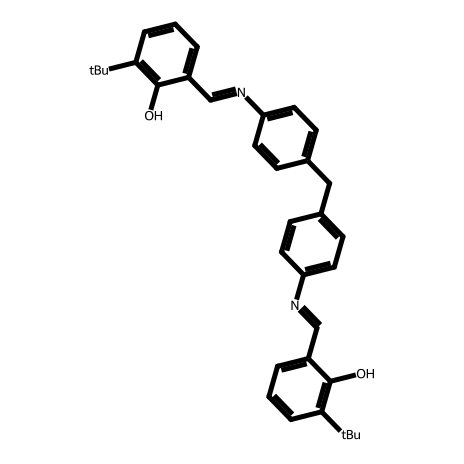 CC(C)(C)c1cccc(/C=N/c2ccc(Cc3ccc(/N=C/c4cccc(C(C)(C)C)c4O)cc3)cc2)c1O